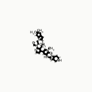 Cc1cc2c(n1CCN(C=O)c1nccc(-c3cc(Nc4nc5c(s4)CNCC5)c(=O)n(C)c3)c1CO)CC(C)(C)C2